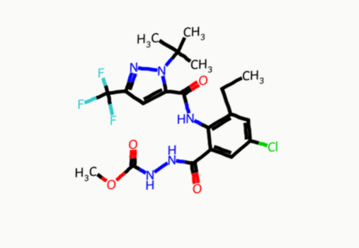 CCc1cc(Cl)cc(C(=O)NNC(=O)OC)c1NC(=O)c1cc(C(F)(F)F)nn1C(C)(C)C